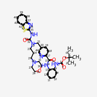 CC(C)(C)OC(=O)Nc1ccccc1NC(=O)c1ccc(CN(CCCN2CCOCC2)C(=O)Nc2nc3ccccc3s2)cn1